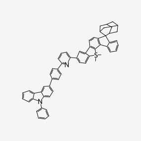 CS1(C)c2ccc(-c3cccc(-c4ccc(-c5ccc6c(c5)c5ccccc5n6-c5ccccc5)cc4)n3)cc2-c2ccc3c(c21)-c1ccccc1C31C2CC3CC(C2)CC1C3